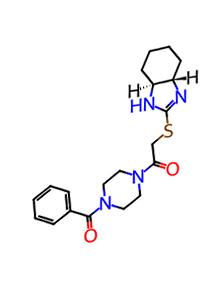 O=C(CSC1=N[C@H]2CCCC[C@@H]2N1)N1CCN(C(=O)c2ccccc2)CC1